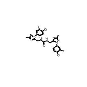 Cc1nc(CNC(=O)NCc2nc(C)nn2-c2ccc(Cl)c(F)c2)n(-c2ccc(Cl)c(F)c2)n1